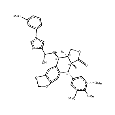 COc1cccc(-n2cc(C(O)N[C@@H]3c4cc5c(cc4[C@@H](c4cc(OC)c(OC)c(OC)c4)[C@H]4C(=O)OC[C@@H]43)OCO5)nn2)c1